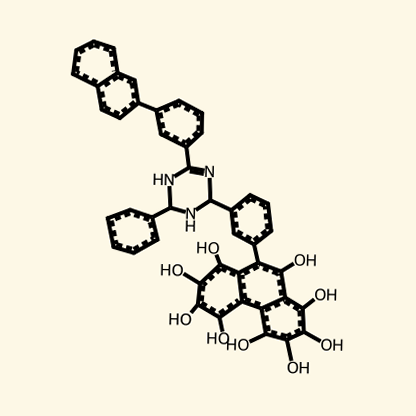 Oc1c(O)c(O)c2c(c1O)c(O)c(-c1cccc(C3N=C(c4cccc(-c5ccc6ccccc6c5)c4)NC(c4ccccc4)N3)c1)c1c(O)c(O)c(O)c(O)c12